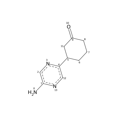 Nc1cnc(C2CCCC(=O)C2)cn1